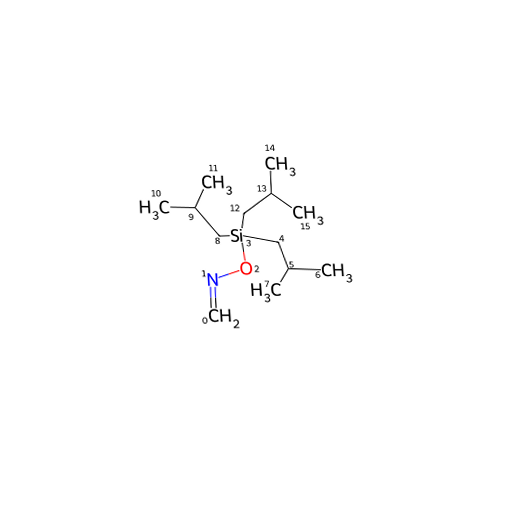 C=NO[Si](CC(C)C)(CC(C)C)CC(C)C